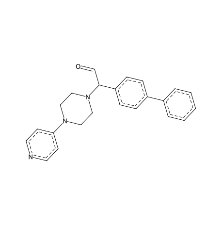 O=CC(c1ccc(-c2ccccc2)cc1)N1CCN(c2ccncc2)CC1